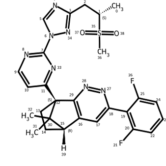 C[C@@H](Cc1ncn(-c2nccc([C@@]34CC[C@@H](c5cc(-c6c(F)cccc6F)nnc53)C4(C)C)n2)n1)S(C)(=O)=O